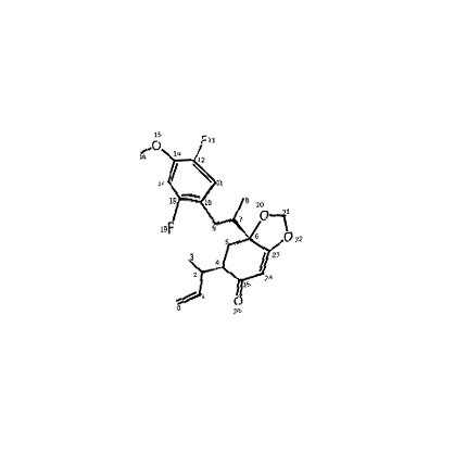 C=CC(C)[C@H]1C[C@]2(C(C)Cc3cc(F)c(OC)cc3F)OCOC2=CC1=O